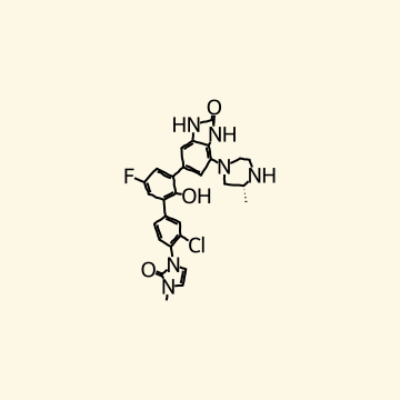 C[C@@H]1CN(c2cc(-c3cc(F)cc(-c4ccc(-n5ccn(C)c5=O)c(Cl)c4)c3O)cc3[nH]c(=O)[nH]c23)CCN1